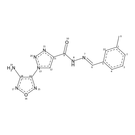 Cc1cccc(C=NNC(=O)c2cn(-c3nonc3N)nn2)c1